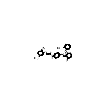 CC1CCC(C(C)C)C(OCC(=O)Nc2ccc(NCc3c(F)cccc3Oc3ccccc3C(=O)O)cc2)C1